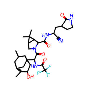 CC1=C2CC(C)CC(C(NC(=O)C(F)(F)F)C(=O)N3CC4C(C3C(=O)NC(C#N)CC3CCNC3=O)C4(C)C)(C2)CC1O